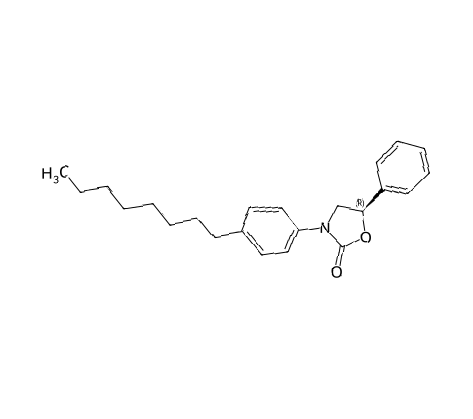 CCCCCCCCc1ccc(N2C[C@@H](c3ccccc3)OC2=O)cc1